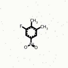 Cc1cc([N+](=O)[O-])cc(F)c1C